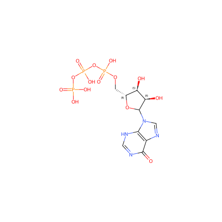 O=c1nc[nH]c2c1ncn2C1O[C@H](COP(=O)(O)OP(=O)(O)OP(=O)(O)O)[C@@H](O)[C@H]1O